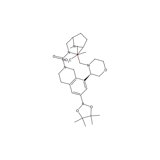 CN1C2CCC1CN(C(=O)N1CCc3cc(B4OC(C)(C)C(C)(C)O4)cc([C@@H]4COCCN4CC(C)(C)C(=O)O)c3C1)C2